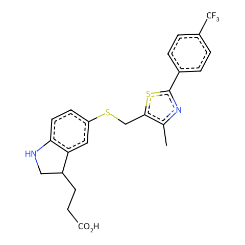 Cc1nc(-c2ccc(C(F)(F)F)cc2)sc1CSc1ccc2c(c1)C(CCC(=O)O)CN2